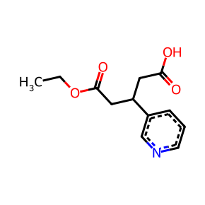 CCOC(=O)CC(CC(=O)O)c1cccnc1